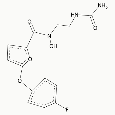 NC(=O)NCCN(O)C(=O)c1ccc(Oc2ccc(F)cc2)o1